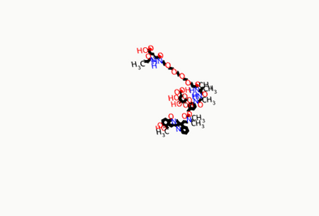 CCCC(=O)N[C@@H](CCC(=O)O)C(=O)NCCOCCOCCOCCOCCC(=O)N[C@H](C(=O)N[C@@H](C)C(=O)Nc1ccc(COC(=O)N(CCc2c3c(nc4ccccc24)-c2cc4c(c(=O)n2C3)CCC(=O)[C@]4(O)CC)C(C)C)cc1O[C@@H]1O[C@H](C(=O)O)[C@@H](O)[C@H](O)[C@H]1O)C(C)C